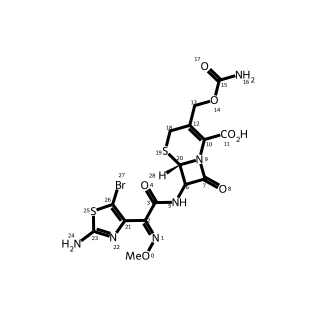 CON=C(C(=O)NC1C(=O)N2C(C(=O)O)=C(COC(N)=O)CS[C@@H]12)c1nc(N)sc1Br